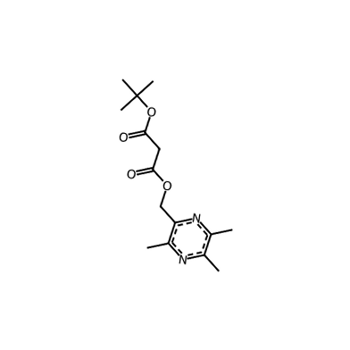 Cc1nc(C)c(COC(=O)CC(=O)OC(C)(C)C)nc1C